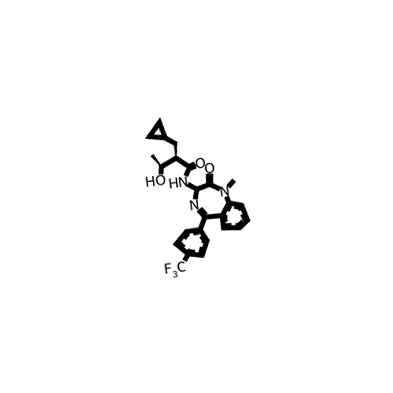 C[C@H](O)[C@@H](CC1CC1)C(=O)NC1N=C(c2ccc(C(F)(F)F)cc2)c2ccccc2N(C)C1=O